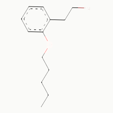 CCCCCOc1ccccc1CCBr